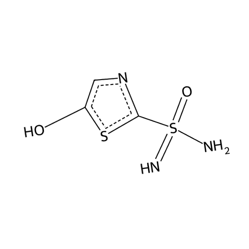 N=S(N)(=O)c1ncc(O)s1